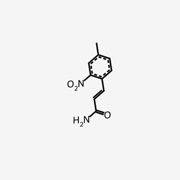 Cc1ccc(C=CC(N)=O)c([N+](=O)[O-])c1